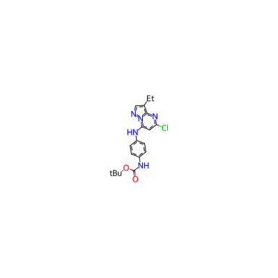 CCc1cnn2c(Nc3ccc(NC(=O)OC(C)(C)C)cc3)cc(Cl)nc12